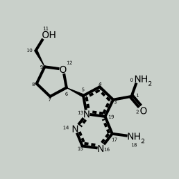 NC(=O)c1cc([C@H]2CC[C@@H](CO)O2)n2ncnc(N)c12